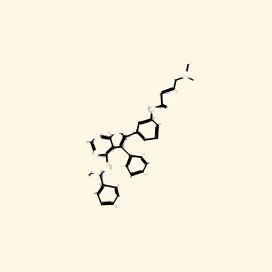 CN(C)C/C=C/C(=O)Nc1cccc(-c2sc3ncnc(N[C@H](CO)c4ccccc4)c3c2-c2ccccc2)c1